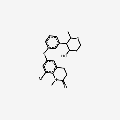 CC1OCCC(O)C1c1cccc(Sc2cc(Cl)c3c(c2)CCC(=O)N3C)c1